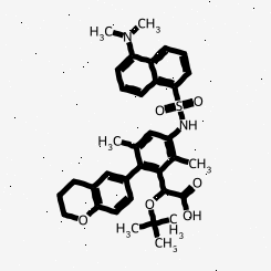 Cc1cc(NS(=O)(=O)c2cccc3c(N(C)C)cccc23)c(C)c(C(OC(C)(C)C)C(=O)O)c1-c1ccc2c(c1)CCCO2